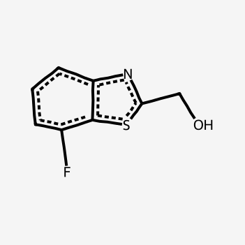 OCc1nc2cccc(F)c2s1